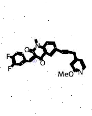 COc1cc(CC#Cc2ccc3c(c2)C(=O)/C(=C/c2ccc(F)c(F)c2)C(=O)N3C)ccn1